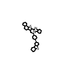 c1ccc2c(c1)ccc1c3cc(-c4ccc(-c5ccc6sc7ccccc7c6c5)cc4)n4c5ccccc5nc4c3sc21